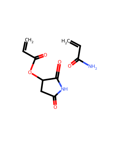 C=CC(=O)OC1CC(=O)NC1=O.C=CC(N)=O